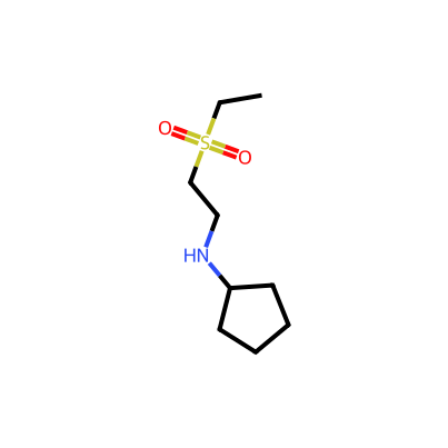 CCS(=O)(=O)CCNC1CCCC1